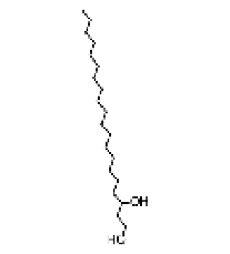 CCCCCCCCCCCCCCCCCC(O)CCO